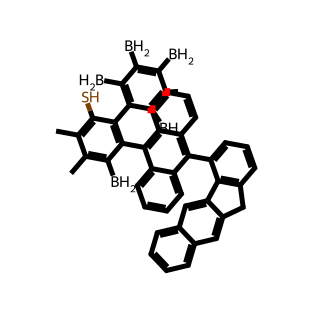 Bc1c(B)c(C)c(B)c(-c2c(S)c(C)c(C)c(B)c2-c2c3ccccc3c(-c3cccc4c3-c3cc5ccccc5cc3C4)c3ccccc23)c1B